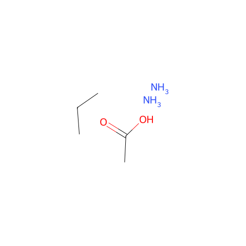 CC(=O)O.CCC.N.N